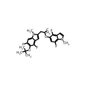 CC(Cc1cc2c(F)c(OC(C)(C)C)c(F)cc2n1C)Oc1cc(F)c2c(ccn2C)c1F